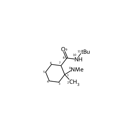 CNC1(C)CCCCC1C(=O)NC(C)(C)C